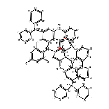 Cc1cc(C)c(N2c3cc4c(cc3B3c5ccccc5Oc5cc(N(c6ccccc6)c6ccccc6)cc2c53)B(c2c(-c3ccccc3)cccc2-c2ccccc2)c2ccc(N(c3ccccc3)c3ccccc3)cc2S4)c(C)c1